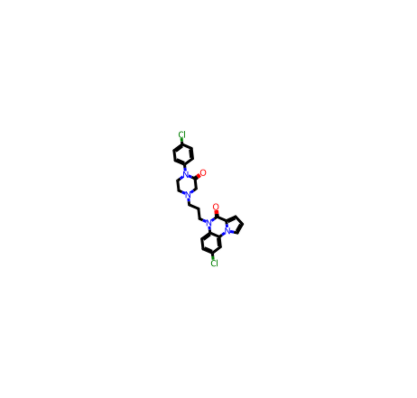 O=C1CN(CCCn2c(=O)c3cccn3c3cc(Cl)ccc32)CCN1c1ccc(Cl)cc1